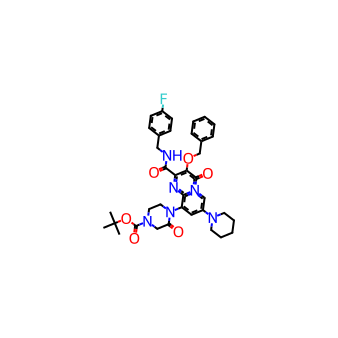 CC(C)(C)OC(=O)N1CCN(c2cc(N3CCCCC3)cn3c(=O)c(OCc4ccccc4)c(C(=O)NCc4ccc(F)cc4)nc23)C(=O)C1